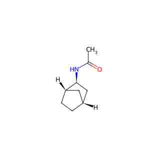 CC(=O)N[C@H]1C[C@@H]2CC[C@H]1C2